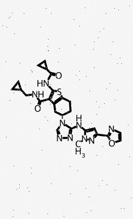 Cn1nc(-c2ncco2)cc1Nc1nncn1[C@H]1CCc2sc(NC(=O)C3CC3)c(C(=O)NCC3CC3)c2C1